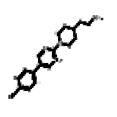 NCCC1CCN(c2ncc(-c3ccc(F)cc3)cn2)CC1